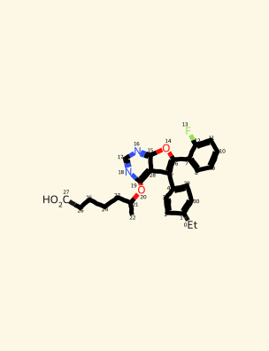 CCc1ccc(-c2c(-c3ccccc3F)oc3ncnc(OC(C)CCCCC(=O)O)c23)cc1